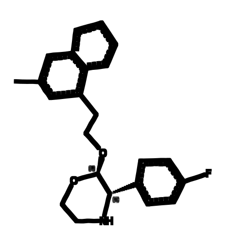 Cc1cc(CCO[C@@H]2OCCN[C@H]2c2ccc(F)cc2)c2ccccc2c1